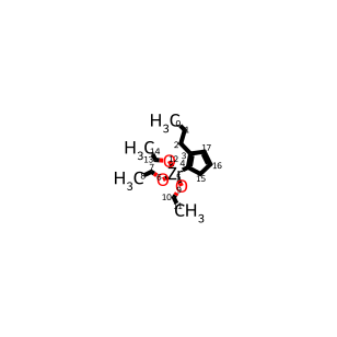 CCCC1=[C]([Zr]([O]CC)([O]CC)[O]CC)CC=C1